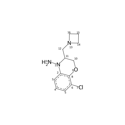 NN1c2cccc(Cl)c2OCC1CN1CCC1